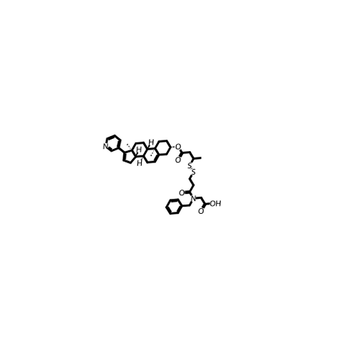 CC(CC(=O)O[C@H]1CC[C@@]2(C)C(=CC[C@@H]3[C@@H]2CC[C@]2(C)C(c4cccnc4)=CC[C@@H]32)C1)SSCCC(=O)N(CC(=O)O)Cc1ccccc1